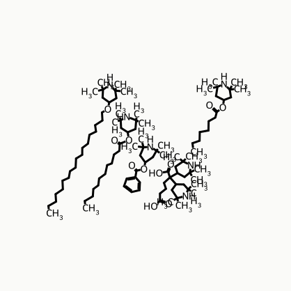 CC1(C)CC(C(CCCC(=O)O)(C(=O)O)C2CC(C)(C)NC(C)(C)C2)CC(C)(C)N1.CC1(C)CC(OC(=O)c2ccccc2)CC(C)(C)N1.CCCCCCCC(=O)OC1CC(C)(C)NC(C)(C)C1.CCCCCCCCCCCC(=O)OC1CC(C)(C)NC(C)(C)C1.CCCCCCCCCCCCCCCCCCOC1CC(C)(C)NC(C)(C)C1